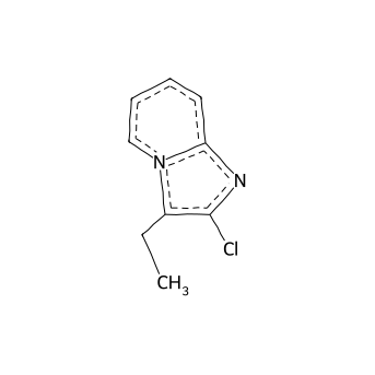 CCc1c(Cl)nc2ccccn12